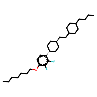 CCCCCCCOc1ccc([C@H]2CC[C@H](CCC3CCC(CCCC)CC3)CC2)c(F)c1F